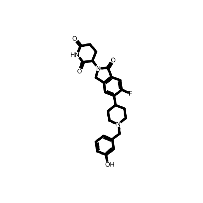 O=C1CCC(N2Cc3cc(C4CCN(Cc5cccc(O)c5)CC4)c(F)cc3C2=O)C(=O)N1